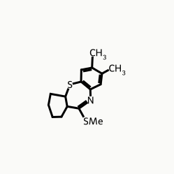 CSC1=Nc2cc(C)c(C)cc2SC2CCCCC12